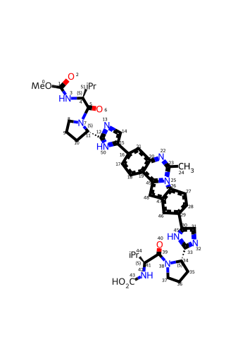 COC(=O)N[C@H](C(=O)N1CCC[C@H]1c1ncc(-c2ccc3c(c2)nc(C)n2c4ccc(-c5cnc([C@@H]6CCCN6C(=O)[C@@H](NC(=O)O)C(C)C)[nH]5)cc4cc32)[nH]1)C(C)C